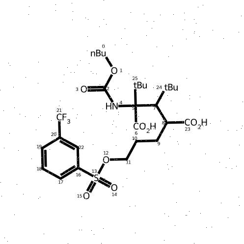 CCCCOC(=O)NC(C(=O)O)(C(C(CCCOS(=O)(=O)c1cccc(C(F)(F)F)c1)C(=O)O)C(C)(C)C)C(C)(C)C